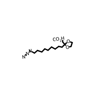 [N-]=[N+]=NCCCCCCCCCC1(CC(=O)O)OCCO1